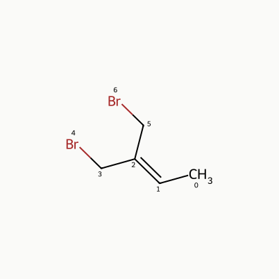 CC=C(CBr)CBr